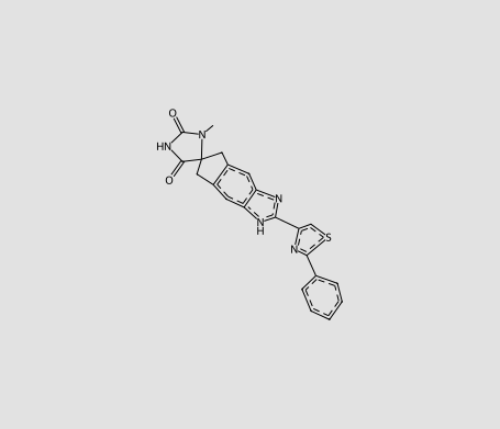 CN1C(=O)NC(=O)C12Cc1cc3nc(-c4csc(-c5ccccc5)n4)[nH]c3cc1C2